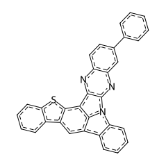 c1ccc(-c2ccc3nc4c5c6sc7ccccc7c6cc6c7ccccc7n(c4nc3c2)c65)cc1